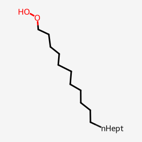 CCCCCCCCCCCCCCCCCCOO